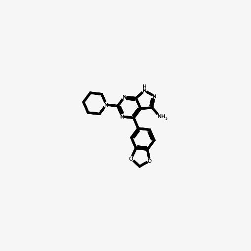 Nc1n[nH]c2nc(N3CCCCC3)nc(-c3ccc4c(c3)OCO4)c12